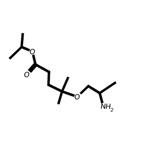 CC(N)COC(C)(C)CCC(=O)OC(C)C